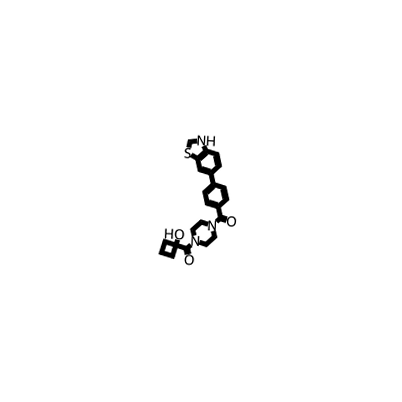 O=C(c1ccc(-c2ccc3c(c2)SCN3)cc1)N1CCN(C(=O)C2(O)CCC2)CC1